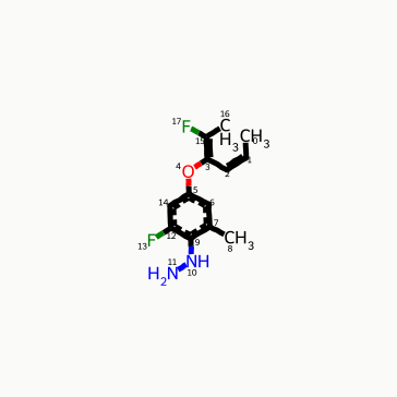 C/C=C\C(Oc1cc(C)c(NN)c(F)c1)=C(/C)F